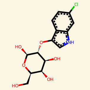 OC[C@H]1O[C@@H](O)[C@H](Oc2c[nH]c3cc(Cl)ccc23)[C@@H](O)[C@H]1O